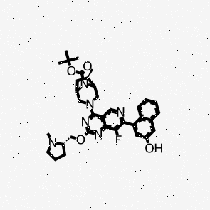 C[C@@H]1CC2CN(c3nc(OC[C@@H]4CCCN4C)nc4c(F)c(-c5cc(O)cc6ccccc56)ncc34)CC1N2C(=O)OC(C)(C)C